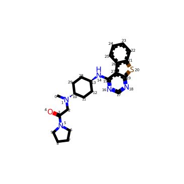 CN(CC(=O)N1CCCC1)[C@H]1CC[C@H](Nc2ncnc3sc4ccccc4c23)CC1